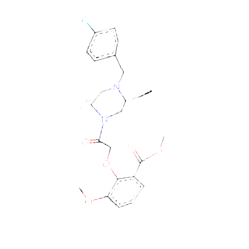 COC(=O)c1cccc(OC)c1OCC(=O)N1C[C@H](C)N(Cc2ccc(F)cc2)C[C@H]1C